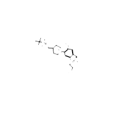 COCCn1ncc2cc(N)c(N3CCC(CO[Si](C)(C)C(C)(C)C)CC3)cc21